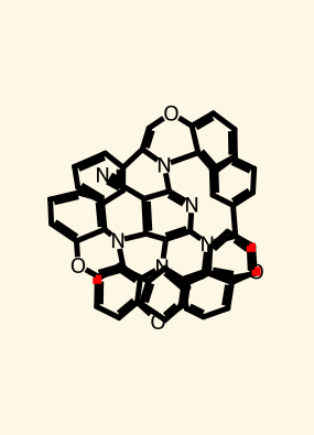 N#Cc1c(N2C(c3ccccc3)=COc3ccccc32)nc(N2C(c3ccccc3)=COc3ccccc32)c(N2C(c3ccccc3)=COc3ccccc32)c1N1C(c2ccccc2)=COc2ccccc21